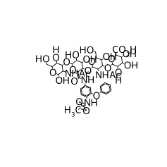 CC(=O)NC1C(O)OC(CO)C(O)C1OC1OC(C(=O)Nc2ccc(NS(C)(=O)=O)c(Oc3ccccc3)c2)C(OC2OC(CO)C(O)C(OC3OC(C(=O)O)C(O)C(O)C3O)C2NC(C)=O)C(O)C1O